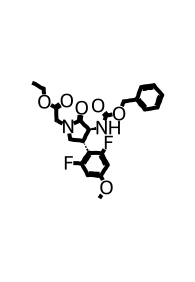 CCOC(=O)CN1C[C@@H](c2c(F)cc(OC)cc2F)[C@H](NC(=O)OCc2ccccc2)C1=O